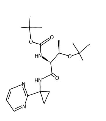 C[C@@H](OC(C)(C)C)[C@H](NC(=O)OC(C)(C)C)C(=O)NC1(c2ncccn2)CC1